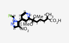 COC(CCC[C@@H](C)C(=O)O)(OC)c1cc(-c2c([N+](=O)[O-])cnn2CF)ccn1